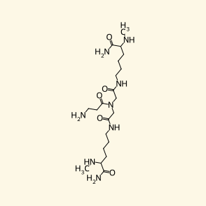 CNC(CCCCNC(=O)CN(CC(=O)NCCCCC(NC)C(N)=O)C(=O)CCN)C(N)=O